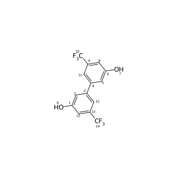 Oc1cc(-c2cc(O)cc(C(F)(F)F)c2)cc(C(F)(F)F)c1